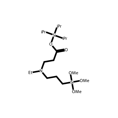 CCN(CCC[Si](OC)(OC)OC)CCC(=O)O[Si](C(C)C)(C(C)C)C(C)C